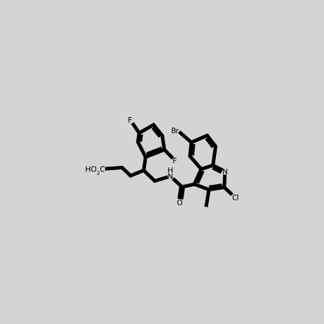 Cc1c(Cl)nc2ccc(Br)cc2c1C(=O)NCC(CCC(=O)O)c1cc(F)ccc1F